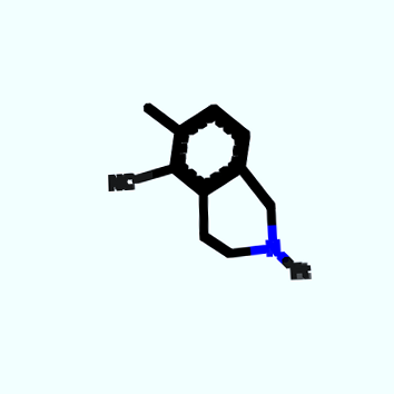 CCN1CCc2c(ccc(C)c2C#N)C1